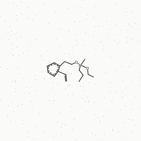 C=Cc1ccccc1CCO[Si](C)(CCC)OCC